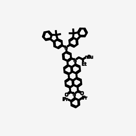 CCCCC(CC)Cn1c2cc(N(c3ccc4c(c3)C(C)(C)c3ccccc3-4)c3ccc4c(c3)C(C)(C)c3ccccc3-4)ccc2c2ccc3c4ccc5c(=O)n(-c6c(C(C)C)cccc6C(C)C)c(=O)c6ccc(c7ccc1c2c37)c4c56